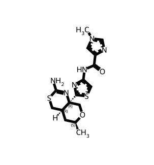 C[C@H]1C[C@H]2CSC(N)=N[C@@]2(c2nc(NC(=O)c3cn(C)cn3)cs2)CO1